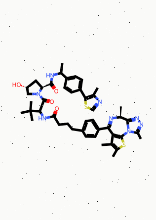 Cc1ncsc1-c1ccc(C(C)NC(=O)[C@@H]2C[C@@H](O)CN2C(=O)C(NC(=O)CCCc2ccc(C3=N[C@@H](C)c4nnc(C)n4-c4sc(C)c(C)c43)cc2)C(C)(C)C)cc1